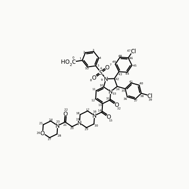 O=C(O)c1cccc(S(=O)(=O)N2c3ccc(C(=O)N4CCN(CC(=O)N5CCOCC5)CC4)c(=O)n3C(c3ccc(Cl)cc3)C2c2ccc(Cl)cc2)c1